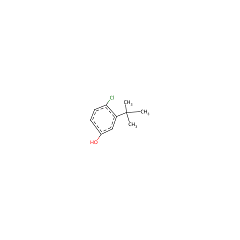 CC(C)(C)c1cc(O)ccc1Cl